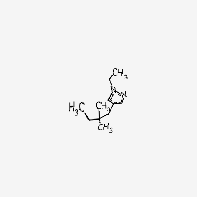 CCn1cc(CC(C)(C)CC)cn1